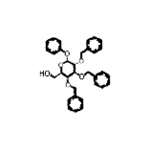 OC[C@H]1O[C@H](Oc2ccccc2)[C@H](OCc2ccccc2)[C@@H](OCc2ccccc2)[C@H]1OCc1ccccc1